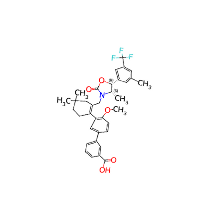 COc1ccc(-c2cccc(C(=O)O)c2)cc1C1=C(CN2C(=O)O[C@H](c3cc(C)cc(C(F)(F)F)c3)[C@@H]2C)CC(C)(C)CC1